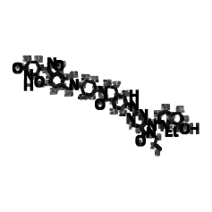 C=CCn1c(=O)c2cnc(Nc3ccc4c(c3)CCN([C@H]3CC[C@H](N5Cc6ccc7c(C8CCC(=O)NC8=O)noc7c6C5)CC3)C4=O)nc2n1-c1ccc2c(n1)[C@@](O)(CC)CC2